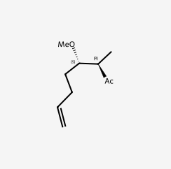 C=CCC[C@H](OC)[C@@H](C)C(C)=O